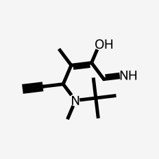 C#CC(/C(C)=C(/O)C=N)N(C)C(C)(C)C